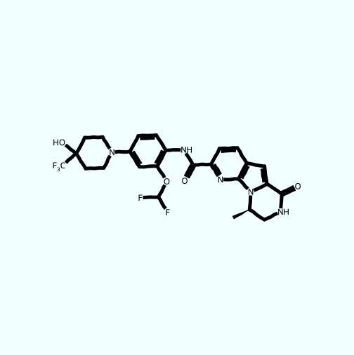 C[C@@H]1CNC(=O)c2cc3ccc(C(=O)Nc4ccc(N5CCC(O)(C(F)(F)F)CC5)cc4OC(F)F)nc3n21